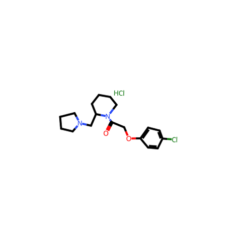 Cl.O=C(COc1ccc(Cl)cc1)N1CCCCC1CN1CCCC1